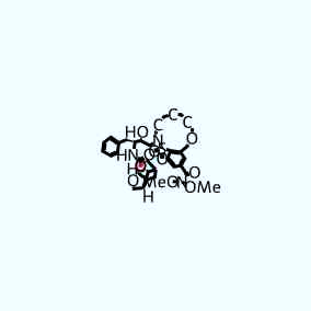 CON(OC)C(=O)c1ccc2c(c1)COCCCCCCCN(C[C@@H](O)[C@H](Cc1ccccc1)NC(=O)O[C@H]1C3CO[C@H]4OC[C@@H]1C4C3)S2(=O)=O